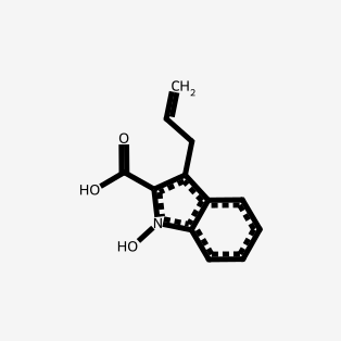 C=CCc1c(C(=O)O)n(O)c2ccccc12